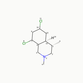 C[C@@H]1CN(C)CC2C(Cl)CC(Cl)C[C@H]21